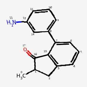 CC1Cc2cccc(-c3cccc(N)c3)c2C1=O